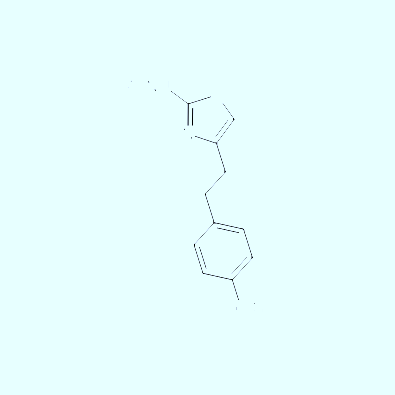 CC(=O)Nc1nc(CCc2ccc(OC(C)=O)cc2)cs1